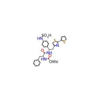 COC(=O)NC(Cc1ccccc1)C(=O)NC(Cc1csc(-c2cccs2)n1)c1ccc(NS(=O)(=O)O)cc1